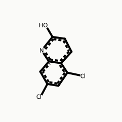 Oc1ccc2c(Cl)cc(Cl)cc2n1